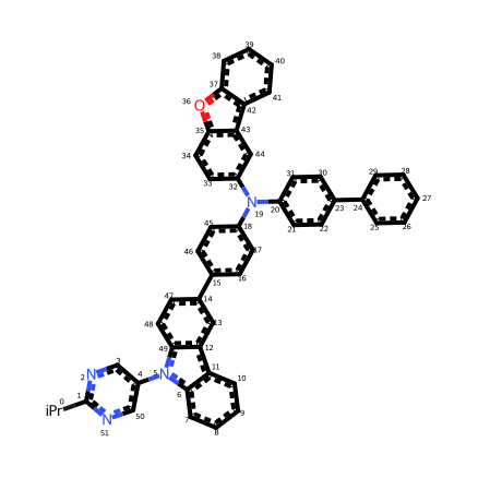 CC(C)c1ncc(-n2c3ccccc3c3cc(-c4ccc(N(c5ccc(-c6ccccc6)cc5)c5ccc6oc7ccccc7c6c5)cc4)ccc32)cn1